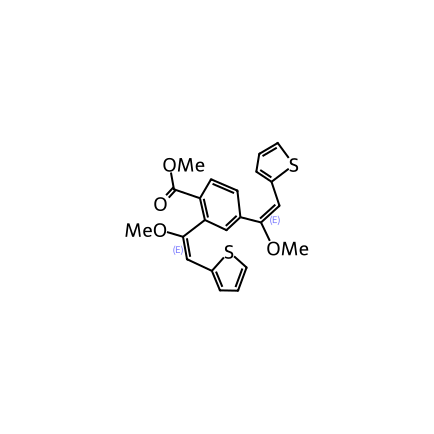 COC(=O)c1ccc(/C(=C\c2cccs2)OC)cc1/C(=C\c1cccs1)OC